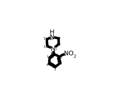 O=[N+]([O-])c1c[c]ccc1N1CCNCC1